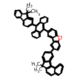 CC1(C)c2ccccc2-c2ccc(-c3c4ccccc4c(-c4ccc5oc6ccc(-c7ccc8c(c7)-c7c(ccc9ccccc79)C8(C)C)cc6c5c4)c4ccccc34)cc21